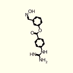 N=C(N)Nc1ccc(C(=O)Oc2cccc(/C=N\O)c2)cc1